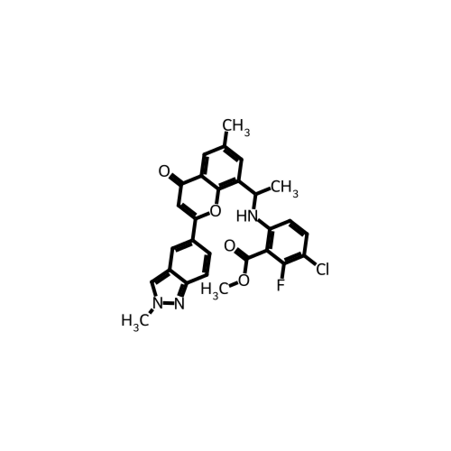 COC(=O)c1c(NC(C)c2cc(C)cc3c(=O)cc(-c4ccc5nn(C)cc5c4)oc23)ccc(Cl)c1F